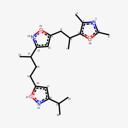 Cc1nc(C)c(C(C)Cc2cc(C(C)CCc3cc(C(C)C)no3)no2)o1